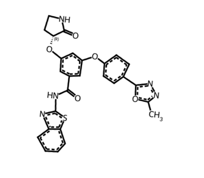 Cc1nnc(-c2ccc(Oc3cc(O[C@@H]4CCNC4=O)cc(C(=O)Nc4nc5ccccc5s4)c3)cc2)o1